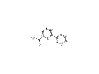 NC(=O)c1ccnc(-c2ccncc2)c1